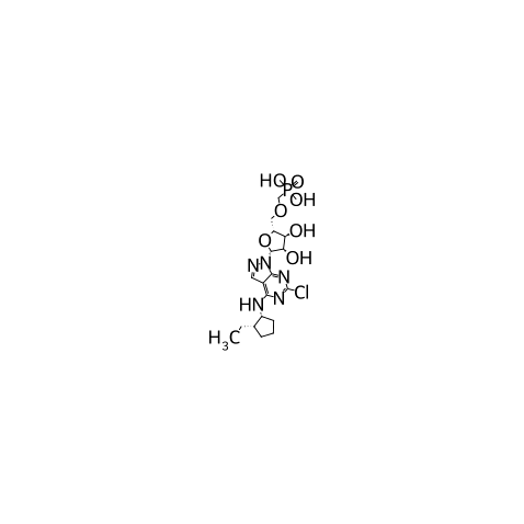 CC[C@H]1CCC[C@H]1Nc1nc(Cl)nc2c1cnn2[C@@H]1O[C@H](COCP(=O)(O)O)[C@@H](O)[C@H]1O